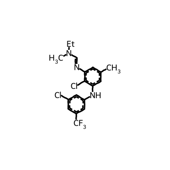 CCN(C)C=Nc1cc(C)cc(Nc2cc(Cl)cc(C(F)(F)F)c2)c1Cl